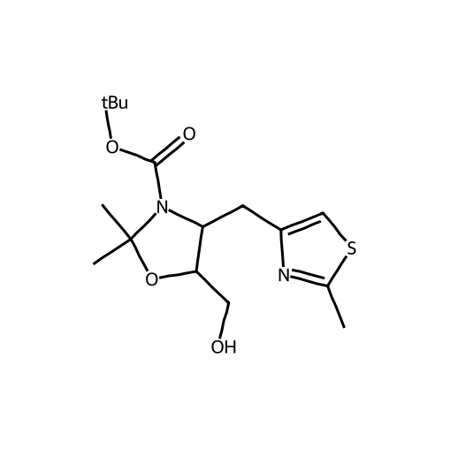 Cc1nc(CC2C(CO)OC(C)(C)N2C(=O)OC(C)(C)C)cs1